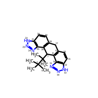 CC(C)(C)C(C)(C)[C]1c2c(ccc3[nH]nnc23)Cc2ccc3[nH]nnc3c21